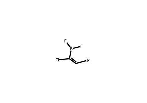 CC(C)/C=C(/Cl)B(F)F